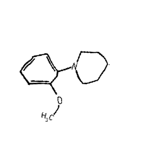 COc1ccccc1N1CC[CH]CC1